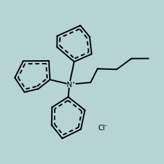 CCCCC[N+](c1ccccc1)(c1ccccc1)c1ccccc1.[Cl-]